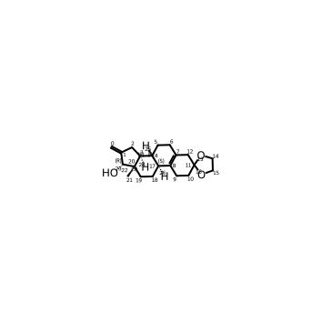 C=C1C[C@H]2[C@@H]3CCC4=C(CCC5(C4)OCCO5)[C@H]3CC[C@]2(C)[C@@H]1O